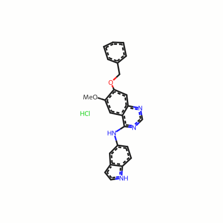 COc1cc2c(Nc3ccc4[nH]ccc4c3)ncnc2cc1OCc1ccccc1.Cl